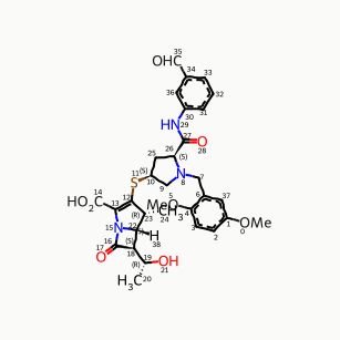 COc1ccc(OC)c(CN2C[C@@H](SC3=C(C(=O)O)N4C(=O)[C@H]([C@@H](C)O)[C@H]4[C@H]3C)C[C@H]2C(=O)Nc2cccc(C=O)c2)c1